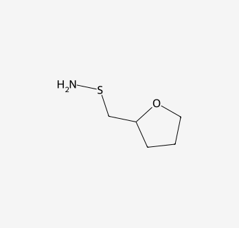 NSCC1CCCO1